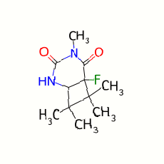 CN1C(=O)NC2C(C)(C)C(C)(C)C2(F)C1=O